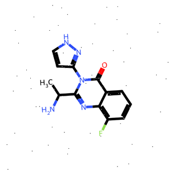 CC(N)c1nc2c(F)cccc2c(=O)n1-c1cc[nH]n1